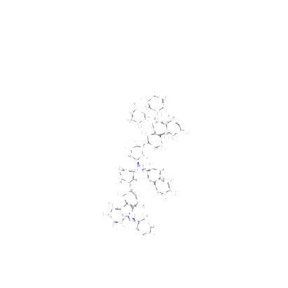 c1ccc(-c2c(-c3ccccc3)c3cc(-c4cccc(N(c5cccc(-c6ccc7c(c6)c6ccccc6n7-c6ccccc6)c5)c5ccc6ccccc6c5)c4)ccc3c3ccccc23)cc1